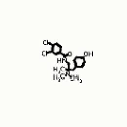 CN(C)C(C)(CNC(=O)c1ccc(Cl)c(Cl)c1)Cc1ccc(O)cc1